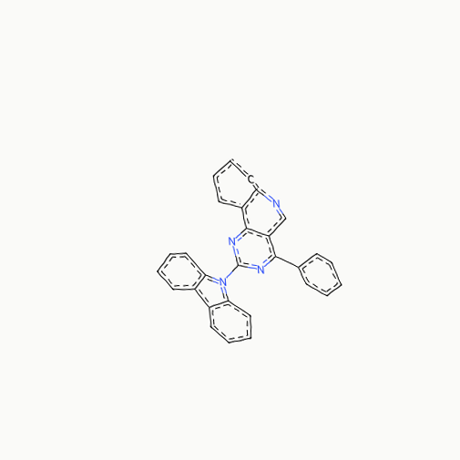 c1ccc(-c2nc(-n3c4ccccc4c4ccccc43)nc3c2cnc2ccccc23)cc1